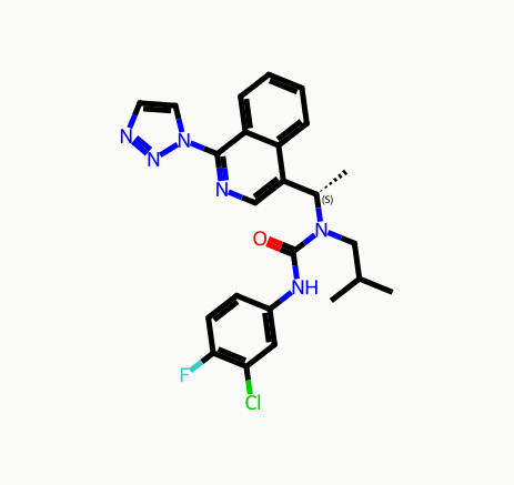 CC(C)CN(C(=O)Nc1ccc(F)c(Cl)c1)[C@@H](C)c1cnc(-n2ccnn2)c2ccccc12